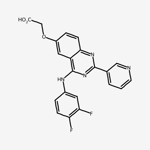 O=C(O)COc1ccc2nc(-c3cccnc3)nc(Nc3ccc(F)c(F)c3)c2c1